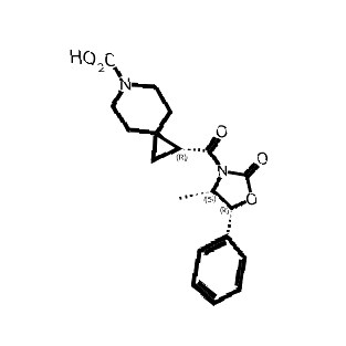 C[C@H]1[C@@H](c2ccccc2)OC(=O)N1C(=O)[C@@H]1CC12CCN(C(=O)O)CC2